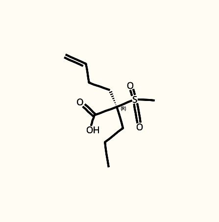 C=CCC[C@](CCC)(C(=O)O)S(C)(=O)=O